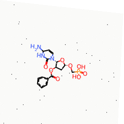 NC1C=CN([C@@H]2O[C@H](OCP(=O)(O)O)CC2OC(=O)c2ccccc2)C(=O)N1